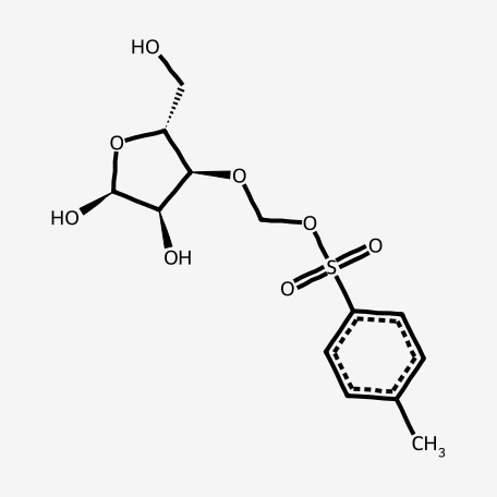 Cc1ccc(S(=O)(=O)OCO[C@H]2[C@@H](O)[C@@H](O)O[C@@H]2CO)cc1